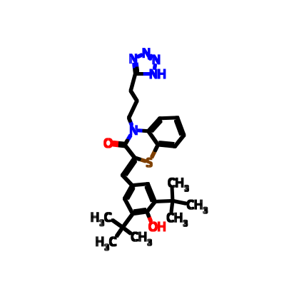 CC(C)(C)c1cc(C=C2Sc3ccccc3N(CCCc3nnn[nH]3)C2=O)cc(C(C)(C)C)c1O